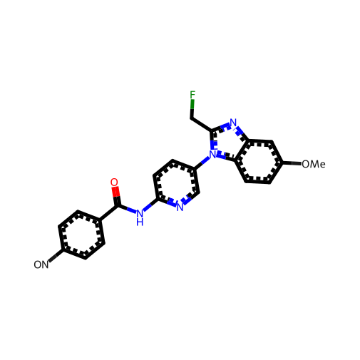 COc1ccc2c(c1)nc(CF)n2-c1ccc(NC(=O)c2ccc(N=O)cc2)nc1